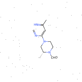 C=N/C(=C\C(C)=N)N1CCN(C=O)[C@H](C)C1